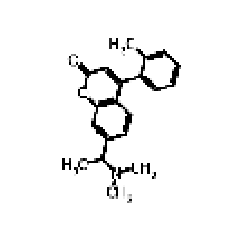 Cc1ccccc1-c1cc(=O)oc2cc(C(C)N(C)C)ccc12